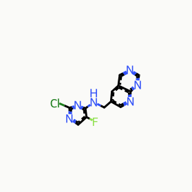 Fc1cnc(Cl)nc1NCc1cnc2ncncc2c1